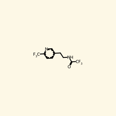 O=C(NCCc1ccc(C(F)(F)F)nc1)C(F)(F)F